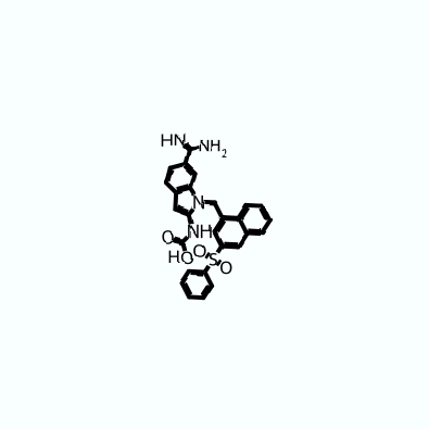 N=C(N)c1ccc2cc(NC(=O)O)n(Cc3cc(S(=O)(=O)c4ccccc4)cc4ccccc34)c2c1